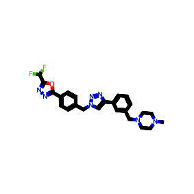 CN1CCN(Cc2cccc(-c3cn(Cc4ccc(-c5nnc(C(F)F)o5)cc4)nn3)c2)CC1